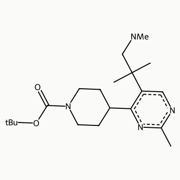 CNCC(C)(C)c1cnc(C)nc1C1CCN(C(=O)OC(C)(C)C)CC1